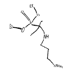 CCCCCCCCCCCCNC(C)(C)P(=O)(OCC)OCC